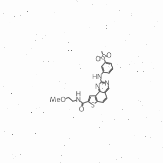 COCCNC(=O)c1cc2c(ccc3cnc(Nc4cccc(S(C)(=O)=O)c4)nc32)s1